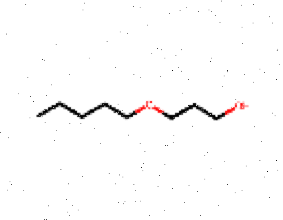 [CH2]CCCCOCCCO